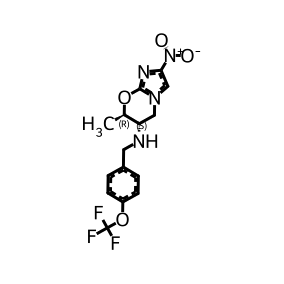 C[C@H]1Oc2nc([N+](=O)[O-])cn2C[C@@H]1NCc1ccc(OC(F)(F)F)cc1